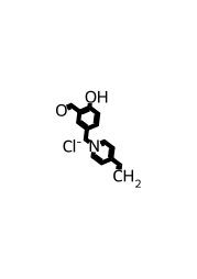 C=Cc1cc[n+](Cc2ccc(O)c(C=O)c2)cc1.[Cl-]